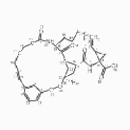 C=CC1C[C@]1(NC(=O)[C@@H]1C[C@@H]2CN1C(=O)[C@H](CCCC)NC(=O)OCCC/C=C/c1cccc(c1)CO2)C(=O)O